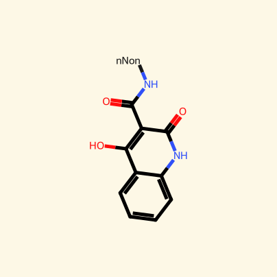 CCCCCCCCCNC(=O)c1c(O)c2ccccc2[nH]c1=O